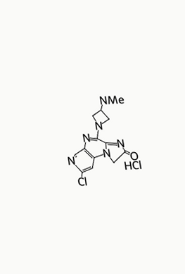 CNC1CN(C2=Nc3cnc(Cl)cc3N3CC(=O)N=C23)C1.Cl